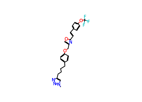 Cn1cc(CCCCc2ccc(OCc3coc(/C=C/c4ccc(OC(F)(F)F)cc4)n3)cc2)nn1